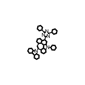 C1=C(n2c3ccccc3c3ccccc32)c2cccc3c2c2c4c1cccc4c(-c1nc(-c4ccccc4)nc(-c4ccccc4)n1)cc2n3-c1ccccc1